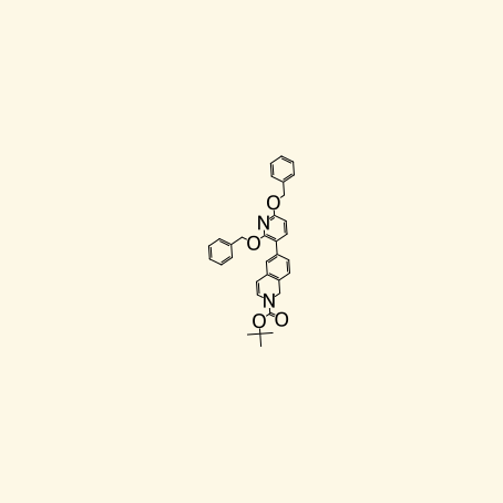 CC(C)(C)OC(=O)N1C=Cc2cc(-c3ccc(OCc4ccccc4)nc3OCc3ccccc3)ccc2C1